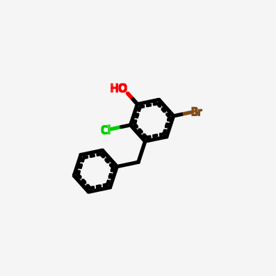 Oc1cc(Br)cc(Cc2ccccc2)c1Cl